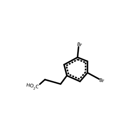 O=C(O)CCc1cc(Br)cc(Br)c1